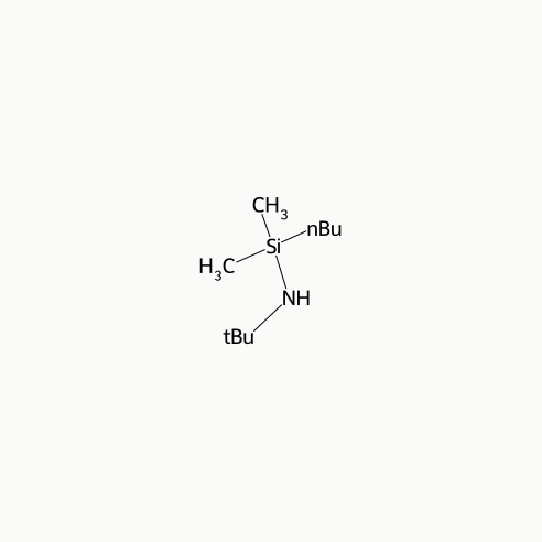 CCCC[Si](C)(C)NC(C)(C)C